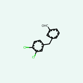 O=Cc1cccc(Cc2ccc(Cl)c(Cl)c2)c1